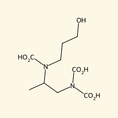 CC(CN(C(=O)O)C(=O)O)N(CCCO)C(=O)O